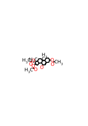 CC(=O)OC1[C@H](OC(C)=O)CC2C3C(=O)C=C4C[C@H](OC(C)=O)CCC4(C)C3CCC21C